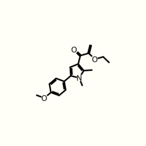 C=C(OCC)C(=O)c1cc(-c2ccc(OC)cc2)n(C)c1C